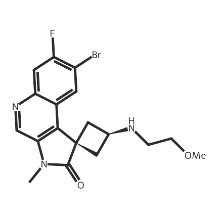 COCCN[C@H]1C[C@@]2(C1)C(=O)N(C)c1cnc3cc(F)c(Br)cc3c12